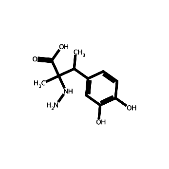 CC(c1ccc(O)c(O)c1)C(C)(NN)C(=O)O